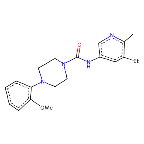 CCc1cc(NC(=O)N2CCN(c3ccccc3OC)CC2)cnc1C